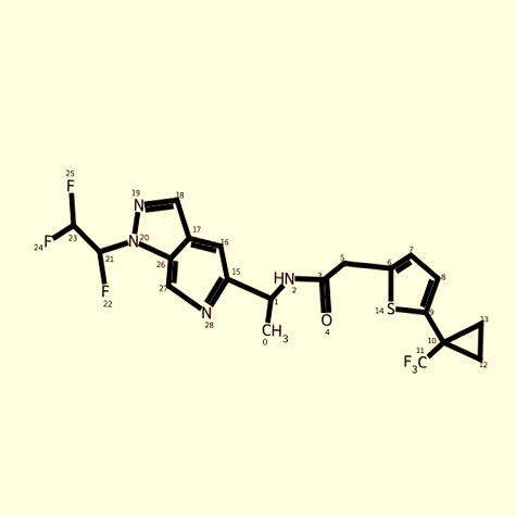 CC(NC(=O)Cc1ccc(C2(C(F)(F)F)CC2)s1)c1cc2cnn(C(F)C(F)F)c2cn1